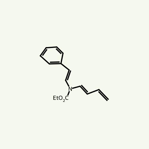 C=CC=CN(C=Cc1ccccc1)C(=O)OCC